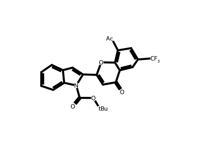 CC(=O)c1cc(C(F)(F)F)cc2c(=O)cc(-c3cc4ccccc4n3C(=O)OC(C)(C)C)oc12